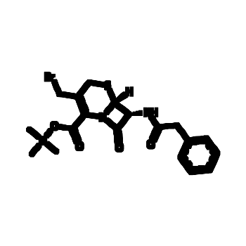 C[Si](C)(C)OC(=O)C1=C(CBr)CS[C@@H]2[C@H](NC(=O)Cc3ccccc3)C(=O)N12